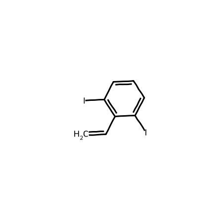 C=Cc1c(I)cccc1I